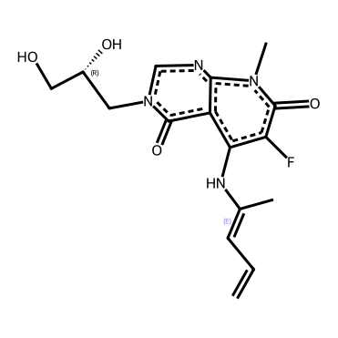 C=C/C=C(\C)Nc1c(F)c(=O)n(C)c2ncn(C[C@@H](O)CO)c(=O)c12